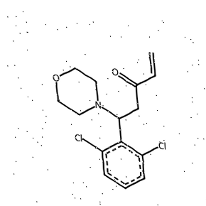 C=CC(=O)CC(c1c(Cl)cccc1Cl)N1CCOCC1